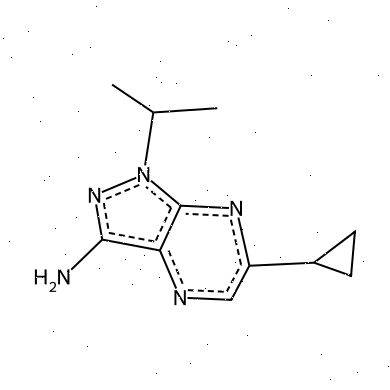 CC(C)n1nc(N)c2ncc(C3CC3)nc21